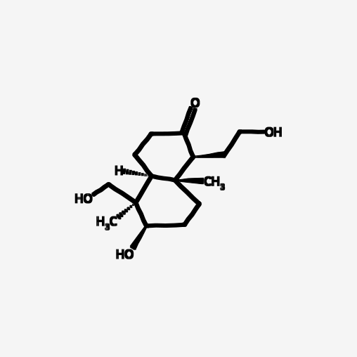 C[C@]1(CO)[C@H]2CCC(=O)[C@@H](CCO)[C@]2(C)CC[C@H]1O